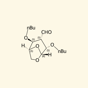 CCCCO[C@@H]1[C@@H]2OC[C@H](O2)[C@@H](OCCCC)[C@@H]1C=O